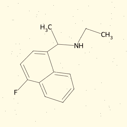 CCNC(C)c1ccc(F)c2ccccc12